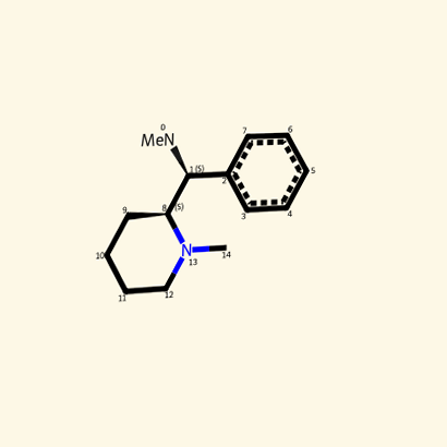 CN[C@@H](c1ccccc1)[C@@H]1CCCCN1C